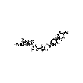 CC(=O)N1CCN(c2ccc(CCc3ccc(CCNC(=O)NNC(=O)OC(C)(C)C)s3)nc2)CC1